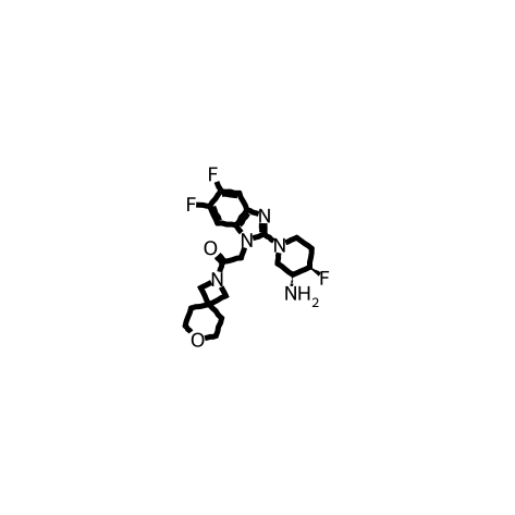 N[C@@H]1CN(c2nc3cc(F)c(F)cc3n2CC(=O)N2CC3(CCOCC3)C2)CC[C@H]1F